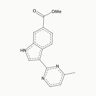 COC(=O)c1ccc2c(-c3nccc(C)n3)c[nH]c2c1